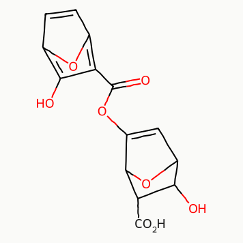 O=C(OC1=CC2OC1C(C(=O)O)C2O)c1c(O)c2ccc1o2